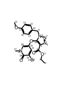 CCOC(=O)c1nnn(Cc2ccc(OC)cc2)c1Oc1cc(Br)c(=O)n(C)c1